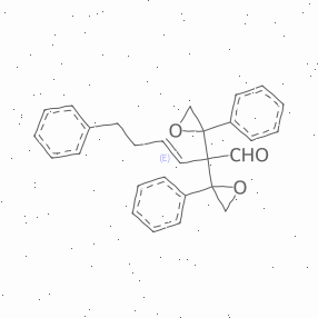 O=CC(/C=C/CCc1ccccc1)(C1(c2ccccc2)CO1)C1(c2ccccc2)CO1